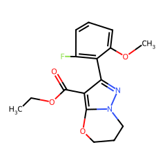 CCOC(=O)c1c(-c2c(F)cccc2OC)nn2c1OCCC2